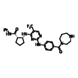 CC(C)NC(=O)[C@H]1CCC[C@H]1Nc1nc(Nc2ccc(C(=O)N3CCCNCC3)cc2)ncc1C(F)(F)F